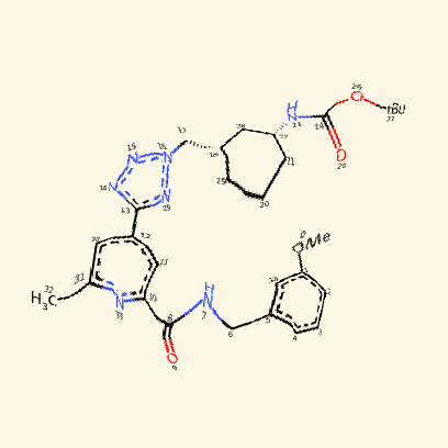 COc1cccc(CNC(=O)c2cc(-c3nnn(C[C@H]4CCC[C@@H](NC(=O)OC(C)(C)C)C4)n3)cc(C)n2)c1